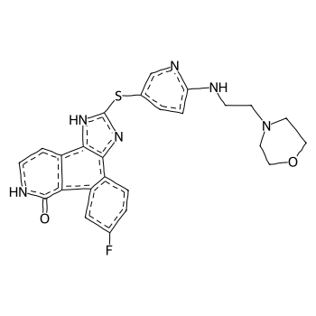 O=c1[nH]ccc2c3[nH]c(Sc4ccc(NCCN5CCOCC5)nc4)nc3c3ccc(F)cc3c12